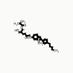 CCCCCc1ccc(-c2cc3ccc(OCC(O)CCC(CO)COC(=O)C(C)C)cc3n2C)cc1